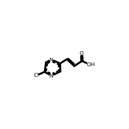 O=C(O)C=Cc1cnc(Cl)cn1